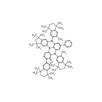 Cc1cc2c(cc1N1c3cc4c(cc3B3c5ccc6c(sc7cc8c(cc76)C(C)(C)CCC8(C)C)c5N(c5cc6c(cc5C)C(C)(C)CCC6(C)C)c5cc(-c6ccccc6)cc1c53)C(C)(C)CC4(C)C)C(C)(C)CCC2(C)C